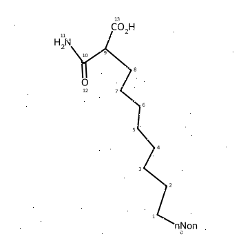 CCCCCCCCCCCCCCCCCC(C(N)=O)C(=O)O